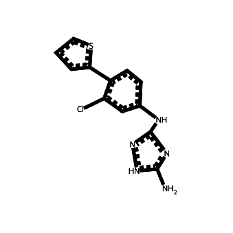 Nc1nc(Nc2ccc(-c3cccs3)c(Cl)c2)n[nH]1